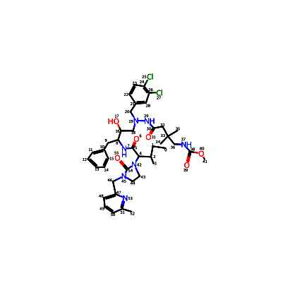 CCC(C)C(C(=O)NC(Cc1ccccc1)C(O)CN(Cc1ccc(Cl)c(Cl)c1)NC(=O)CC(C)(C)CNC(=O)OC)N1CCN(Cc2cccc(C)n2)C1=O